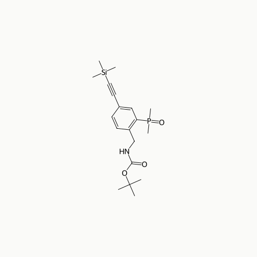 CC(C)(C)OC(=O)NCc1ccc(C#C[Si](C)(C)C)cc1P(C)(C)=O